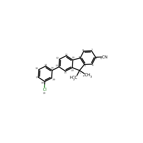 CC1(C)c2cc(C#N)ccc2-c2ccc(-c3cccc(Cl)c3)cc21